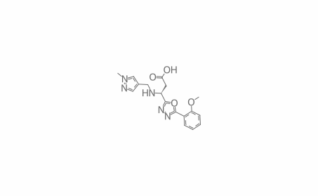 COc1ccccc1-c1nnc([C@H](CC(=O)O)NCc2cnn(C)c2)o1